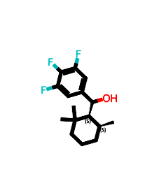 C[C@H]1CCCC(C)(C)[C@H]1C(O)c1cc(F)c(F)c(F)c1